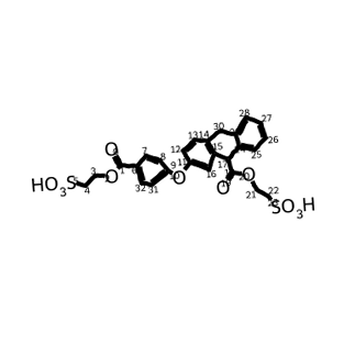 O=C(OCCS(=O)(=O)O)c1ccc(Oc2ccc3c(c2)C(C(=O)OCCS(=O)(=O)O)c2ccccc2C3)cc1